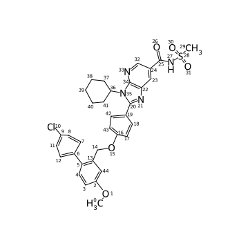 COc1ccc(-c2ccc(Cl)cc2)c(COc2ccc(-c3nc4cc(C(=O)NS(C)(=O)=O)cnc4n3C3CCCCC3)cc2)c1